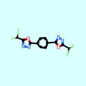 FC(F)c1nnc(-c2ccc(-c3nnc(C(F)F)o3)cc2)o1